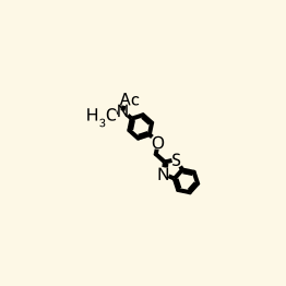 CC(=O)N(C)c1ccc(OCc2nc3ccccc3s2)cc1